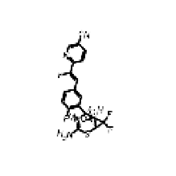 COC(=O)[C@]12SC(N)=N[C@@](C)(c3cc(/C=C(\F)c4ccc(C#N)cn4)ccc3F)[C@H]1C2(F)F